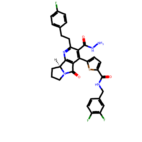 NNC(=O)c1c(CCc2ccc(F)cc2)nc2c(c1-c1ccc(C(=O)NCc3ccc(F)c(F)c3)s1)C(=O)N1CCC[C@@H]21